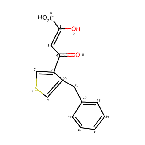 O=C(O)C(O)=CC(=O)c1cscc1Cc1ccccc1